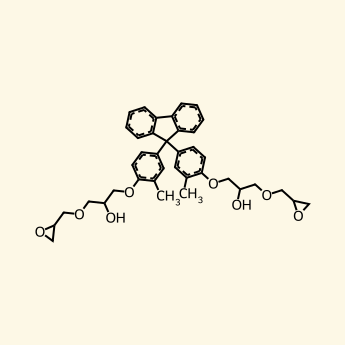 Cc1cc(C2(c3ccc(OCC(O)COCC4CO4)c(C)c3)c3ccccc3-c3ccccc32)ccc1OCC(O)COCC1CO1